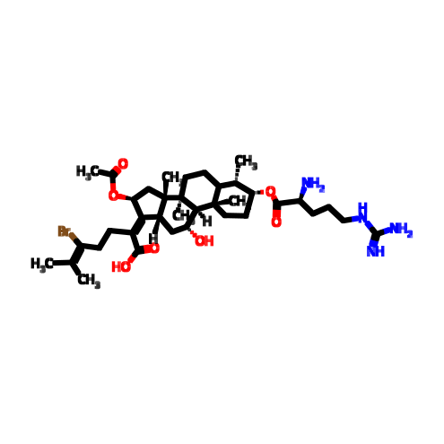 CC(=O)O[C@H]1C[C@@]2(C)[C@H](C[C@@H](O)[C@@H]3[C@@]4(C)CC[C@@H](OC(=O)[C@@H](N)CCCNC(=N)N)[C@@H](C)C4CC[C@@]32C)C1=C(CCC(Br)=C(C)C)C(=O)O